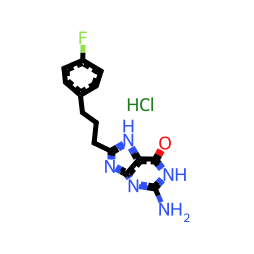 Cl.Nc1nc2nc(CCCc3ccc(F)cc3)[nH]c2c(=O)[nH]1